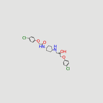 O=C(COc1ccc(Cl)cc1)N[C@H]1CC[C@H](NC[C@H](O)COc2ccc(Cl)cc2)CC1